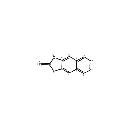 N=C1Cc2cc3ccccc3cc2O1